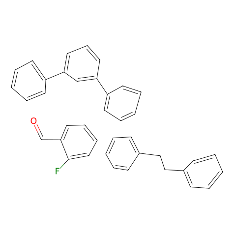 O=Cc1ccccc1F.c1ccc(-c2cccc(-c3ccccc3)c2)cc1.c1ccc(CCc2ccccc2)cc1